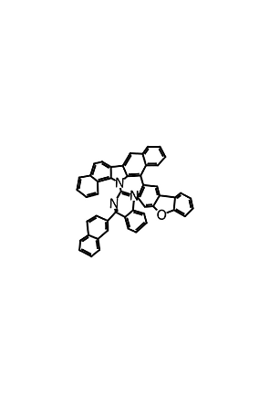 c1ccc2cc(-c3nc(-n4c5c(-c6ccc7oc8ccccc8c7c6)c6ccccc6cc5c5ccc6ccccc6c54)nc4ccccc34)ccc2c1